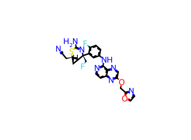 N#CC[C@]12C[C@H]1[C@@](CF)(c1cc(Nc3nccc4nc(OCc5ncco5)cnc34)ccc1F)N=C(N)S2